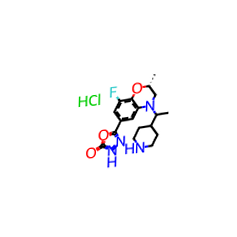 CC(C1CCNCC1)N1C[C@@H](C)Oc2c(F)cc(-c3n[nH]c(=O)o3)cc21.Cl